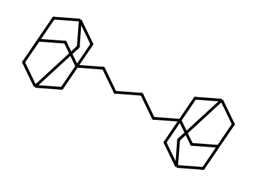 C(CCC12CC3CC(CC(C3)C1)C2)CC12CC3CC(CC(C3)C1)C2